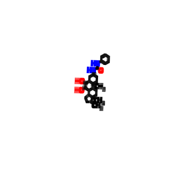 C=C1CCC2C3C(CC[C@]12C)[C@@]1(C)CC[C@@H](NC(=O)Nc2ccccc2)CC1[C@@H](O)[C@@H]3O